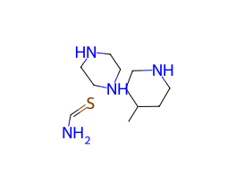 C1CNCCN1.CC1CCNCC1.NC=S